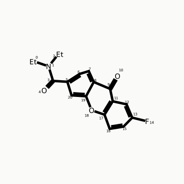 CCN(CC)C(=O)c1ccc2c(=O)c3cc(F)ccc3oc2c1